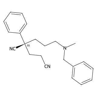 CN(CCC[C@](C#N)(CCC#N)c1ccccc1)Cc1ccccc1